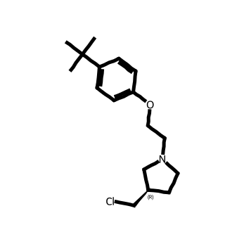 CC(C)(C)c1ccc(OCCN2CC[C@@H](CCl)C2)cc1